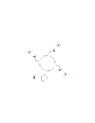 CC(=O)O[C@H]1CNC[C@@H]1N1CCN(CC(=O)OC(C)(C)C)CCN(CC(=O)OC(C)(C)C)CCN(CC(=O)OC(C)(C)C)CC1